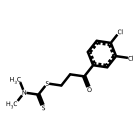 CN(C)C(=S)SCCC(=O)c1ccc(Cl)c(Cl)c1